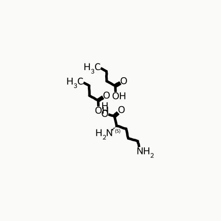 CCCC(=O)O.CCCC(=O)O.NCCC[C@H](N)C(=O)O